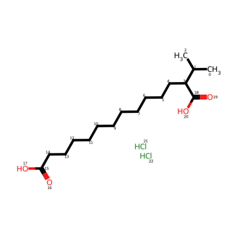 CC(C)C(CCCCCCCCCCCC(=O)O)C(=O)O.Cl.Cl